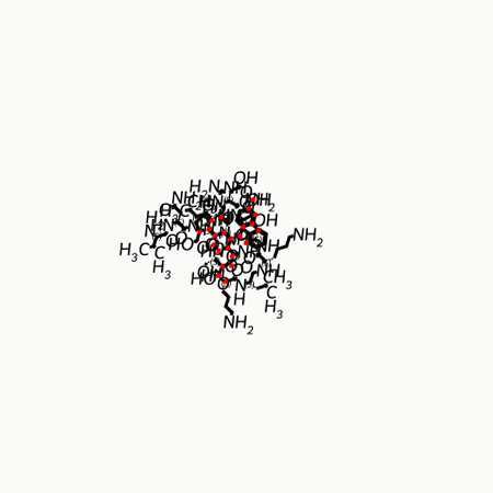 CC(C)C[C@H](NC(=O)[C@H](CCCCN)NC(=O)[C@H](CO)NC(=O)[C@H](Cc1ccc(O)cc1)NC(=O)[C@H](CC(=O)O)NC(=O)[C@@H](NC(=O)[C@H](CC(N)=O)NC(=O)[C@@H](N)C(C)C)C(C)C)C(=O)N[C@@H](CCCCN)C(=O)N[C@@H](CCCCN)C(=O)N[C@@H](CCC(=O)O)C(=O)N[C@@H](CCCNC(=N)N)C(=O)N1CCC[C@H]1C(=O)N[C@@H](CC(=O)O)C(=O)N[C@@H](Cc1ccccc1)C(=O)O